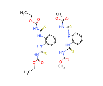 CCOC(=O)NC(=S)Nc1ccccc1NC(=S)NC(=O)OCC.COC(=O)NC(=S)Nc1ccccc1NC(=S)NC(=O)OC